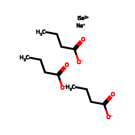 CCCC(=O)[O-].CCCC(=O)[O-].CCCC(=O)[O-].[Na+].[Se+2]